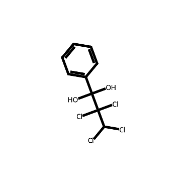 OC(O)(c1ccccc1)C(Cl)(Cl)C(Cl)Cl